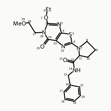 CCOc1nc2sc(N3CCCC3C(=O)NCc3ccccc3)nc2c(=O)n1CCOC